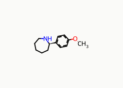 COc1ccc([C@H]2CCCCCN2)cc1